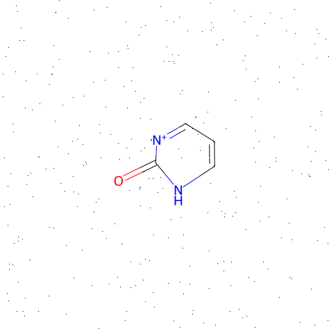 O=C1[N+]=CC=CN1